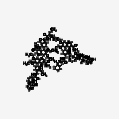 C=CC[C@H](N)C(=O)NCc1cccc(Nc2c(C(N)=O)cnc3cc(OCC)c(OCC)cc23)c1CC.CCOc1cc2ncc(C(N)=O)c(Nc3cccc(CNC(=O)[C@H](N)CC4CCCCC4)c3CC)c2cc1OCC.CCOc1cc2ncc(C(N)=O)c(Nc3cccc(CNC(=O)[C@H]4CCCCN4)c3CC)c2cc1OCC.O=C(O)C(F)(F)F.O=C(O)C(F)(F)F.O=C(O)C(F)(F)F.O=C(O)C(F)(F)F